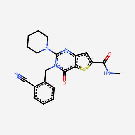 CNC(=O)c1cc2nc(N3CCCCC3)n(Cc3ccccc3C#N)c(=O)c2s1